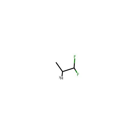 [2H]C(C)C(F)F